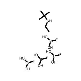 CCNC(C)(C)C.OB(O)F.OB(O)F.OB(O)F.OB(O)F